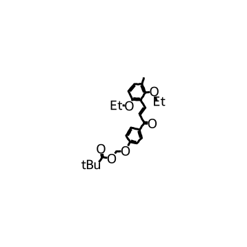 CCOc1ccc(C)c(OCC)c1C=CC(=O)c1ccc(OCOC(=O)C(C)(C)C)cc1